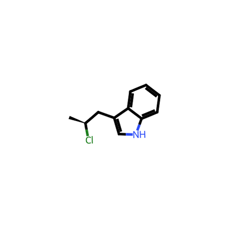 C[C@H](Cl)Cc1c[nH]c2ccccc12